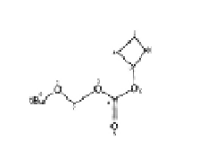 CC(C)(C)OCOC(=O)OC1CCC1